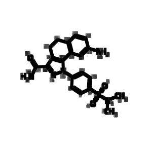 CN(C)S(=O)(=O)c1ccc(-n2nc(C(N)=O)c3c2-c2cc(N)ccc2CC3)cc1